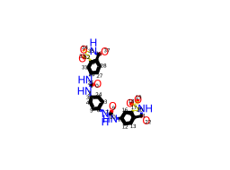 O=C(Nc1ccc(NC(=O)Nc2ccc3c(c2)S(=O)(=O)NC3=O)cc1)Nc1ccc2c(c1)S(=O)(=O)NC2=O